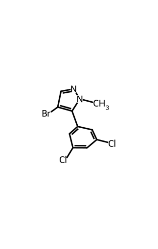 Cn1ncc(Br)c1-c1cc(Cl)cc(Cl)c1